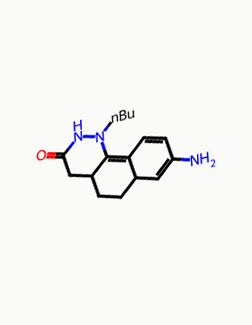 CCCCN1NC(=O)CC2CCC3C=C(N)C=CC3=C21